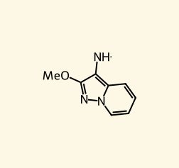 COc1nn2ccccc2c1[NH]